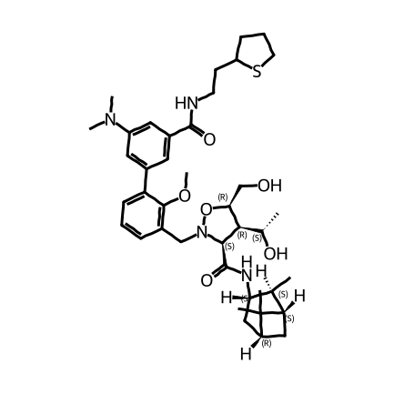 COc1c(CN2O[C@@H](CO)[C@@H]([C@H](C)O)[C@H]2C(=O)N[C@H]2C[C@H]3C[C@@H]([C@@H]2C)C3(C)C)cccc1-c1cc(C(=O)NCCC2CCCS2)cc(N(C)C)c1